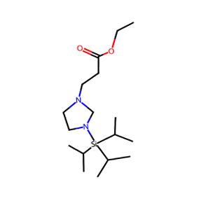 CCOC(=O)CCN1CCN([Si](C(C)C)(C(C)C)C(C)C)C1